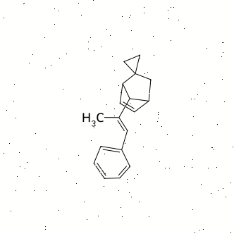 CC(=Cc1ccccc1)C1C2C=CC1C1(CC1)C2